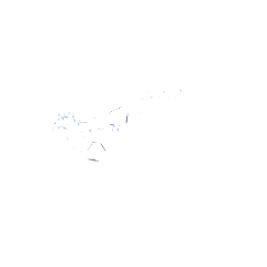 CCOC(=O)CSc1ccc(C(F)(F)C(O)(Cn2cnnn2)c2ccc(F)cc2F)nc1